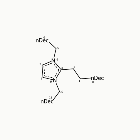 CCCCCCCCCCCCc1n(CCCCCCCCCCC)cc[n+]1CCCCCCCCCCC